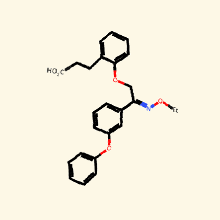 CCO/N=C(\COc1ccccc1CCC(=O)O)c1cccc(Oc2ccccc2)c1